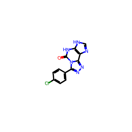 O=c1[nH]c2[nH]cnc2c2nnc(-c3ccc(Cl)cc3)n12